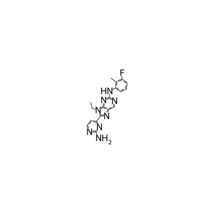 CCn1c(-c2ccnc(N)n2)nc2cnc(Nc3cccc(F)c3C)nc21